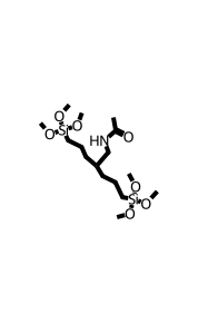 CO[Si](CCCC(CCC[Si](OC)(OC)OC)CNC(C)=O)(OC)OC